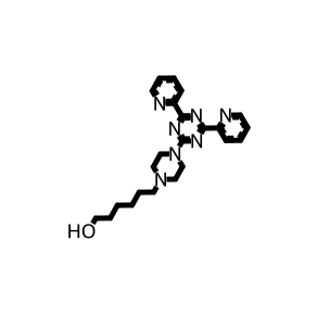 OCCCCCCN1CCN(c2nc(-c3ccccn3)nc(-c3ccccn3)n2)CC1